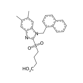 Cc1cc2nc(S(=O)(=O)CCCC(=O)O)n(Cc3cccc4ccccc34)c2cc1C